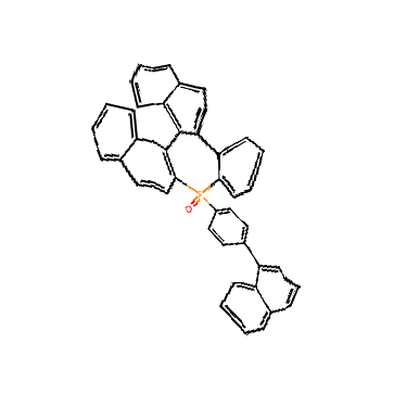 O=P1(c2ccc(-c3cccc4ccccc34)cc2)c2ccccc2-c2ccc3ccccc3c2-c2c1ccc1ccccc21